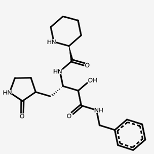 O=C1NCCC1C[C@H](NC(=O)[C@@H]1CCCCN1)C(O)C(=O)NCc1ccccc1